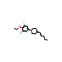 CCCCCC1CCC(c2cc(F)c(OCC)c(F)c2)CC1